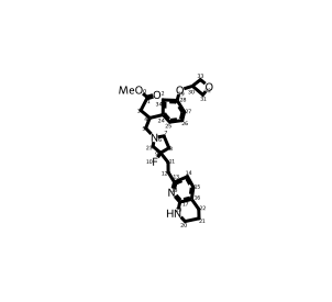 COC(=O)CC(CN1CCC(F)(CCc2ccc3c(n2)NCCC3)C1)c1cccc(OC2COC2)c1